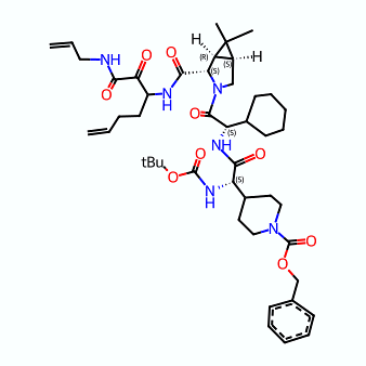 C=CCCC(NC(=O)[C@@H]1[C@@H]2[C@H](CN1C(=O)[C@@H](NC(=O)[C@@H](NC(=O)OC(C)(C)C)C1CCN(C(=O)OCc3ccccc3)CC1)C1CCCCC1)C2(C)C)C(=O)C(=O)NCC=C